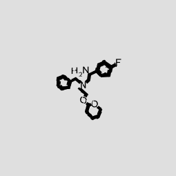 N[C@@H](CN(CCOC1CCCCO1)Cc1ccccc1)c1ccc(F)cc1